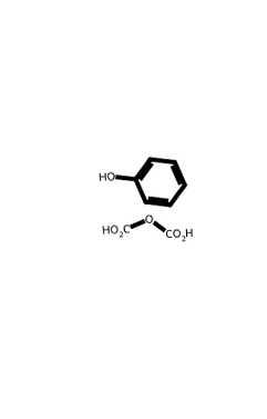 O=C(O)OC(=O)O.Oc1ccccc1